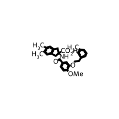 COc1ccc(C(=O)NC2(C(=O)O)Cc3cc(C)c(C)cc3C2)cc1OCCc1cccc(C)c1